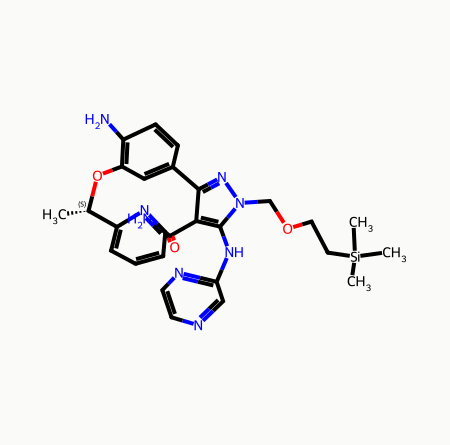 C[C@H](Oc1cc(-c2nn(COCC[Si](C)(C)C)c(Nc3cnccn3)c2C(N)=O)ccc1N)c1ccccn1